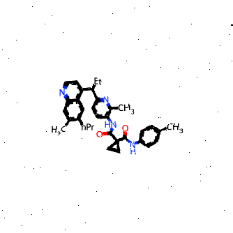 CCCc1cc2c(C(CC)c3ccc(NC(=O)C4(C(=O)Nc5ccc(C)cc5)CC4)c(C)n3)ccnc2cc1C